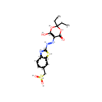 CC(C)CC1(CC(C)C)OC(=O)C(N=Nc2nc3ccc(C[SH](=O)=O)cc3s2)=C(O)O1